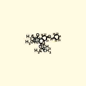 CON(C)C(=O)[C@H](NC(=O)OC(C)(C)C)c1ccc(OCc2ccccc2)cc1